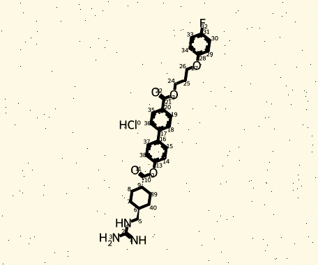 Cl.N=C(N)NC[C@H]1CC[C@H](C(=O)Oc2ccc(-c3ccc(C(=O)OCCCOc4ccc(F)cc4)cc3)cc2)CC1